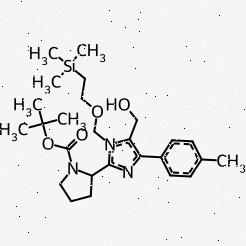 Cc1ccc(-c2nc(C3CCCN3C(=O)OC(C)(C)C)n(COCC[Si](C)(C)C)c2CO)cc1